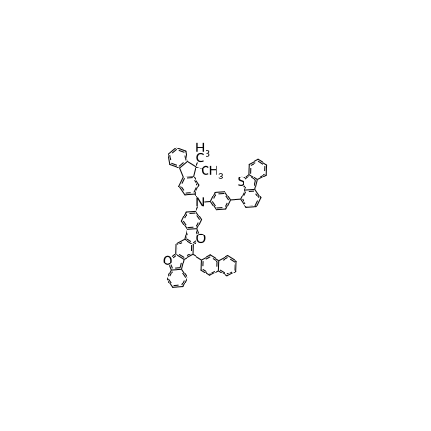 CC1(C)c2ccccc2-c2ccc(N(c3ccc(-c4cccc5c4sc4ccccc45)cc3)c3ccc4c(c3)oc3c(-c5ccc6ccccc6c5)c5c(cc34)oc3ccccc35)cc21